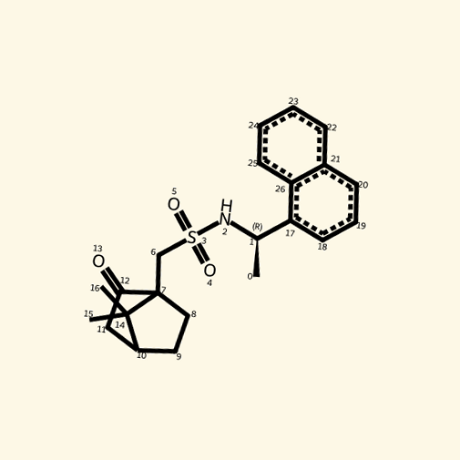 C[C@@H](NS(=O)(=O)CC12CCC(CC1=O)C2(C)C)c1cccc2ccccc12